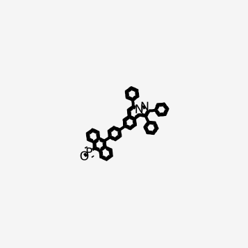 CP(C)(=O)c1c2ccccc2c(-c2ccc(-c3ccc4c(c3)cc(-c3ccccc3)n3nc(-c5ccccc5)c(-c5ccccc5)c43)cc2)c2ccccc12